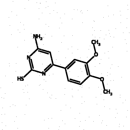 COc1ccc(-c2cc(N)nc(S)n2)cc1OC